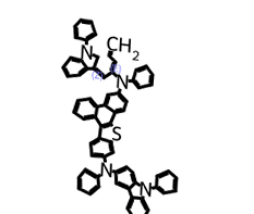 C=C/C=C(\C=C1/CN(c2ccccc2)c2ccccc21)N(c1ccccc1)c1ccc2c(c1)c1ccccc1c1c3ccc(N(c4ccccc4)c4ccc5c(c4)c4ccccc4n5-c4ccccc4)cc3sc21